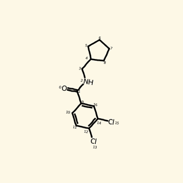 O=C(NCC1CCCC1)c1ccc(Cl)c(Cl)c1